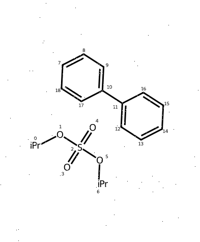 CC(C)OS(=O)(=O)OC(C)C.c1ccc(-c2ccccc2)cc1